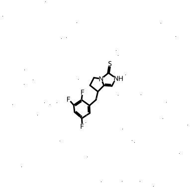 Fc1cc(F)c(F)c(CC2CCn3c2c[nH]c3=S)c1